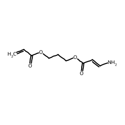 C=CC(=O)OCCCOC(=O)C=CN